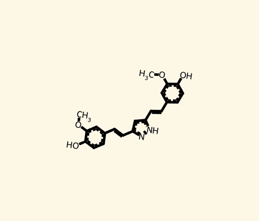 COc1cc(C=Cc2cc(C=Cc3ccc(O)c(OC)c3)[nH]n2)ccc1O